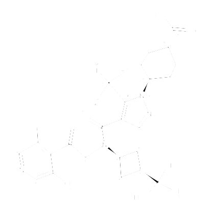 CC(C)(C)[C@H]1C[C@@H](N(CC(=O)c2c(Cl)cncc2Cl)C(=O)c2cnn([C@H]3CC[C@H](C(=O)O)CC3)c2C(F)(F)F)C1